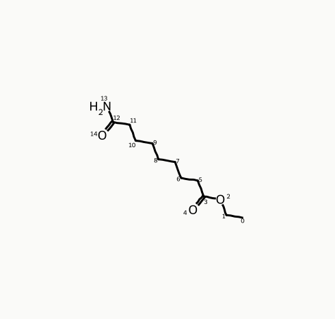 CCOC(=O)CCCCCCCC(N)=O